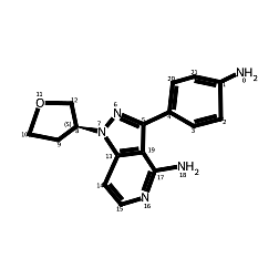 Nc1ccc(-c2nn([C@H]3CCOC3)c3ccnc(N)c23)cc1